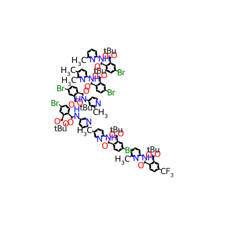 CC(C)(C)OC(=O)c1cc(Br)ccc1C(=O)Nc1cccnc1.Cc1cc(NC(=O)c2ccc(Br)cc2C(=O)OC(C)(C)C)ccn1.Cc1ccc(NC(=O)c2ccc(Br)cc2C(=O)OC(C)(C)C)nc1.Cc1ccc(NC(=O)c2ccc(Br)cc2C(=O)OC(C)(C)C)nc1C.Cc1cccc(NC(=O)c2ccc(Br)cc2C(=O)OC(C)(C)C)n1.Cc1cccc(NC(=O)c2ccc(C(F)(F)F)cc2C(=O)OC(C)(C)C)n1